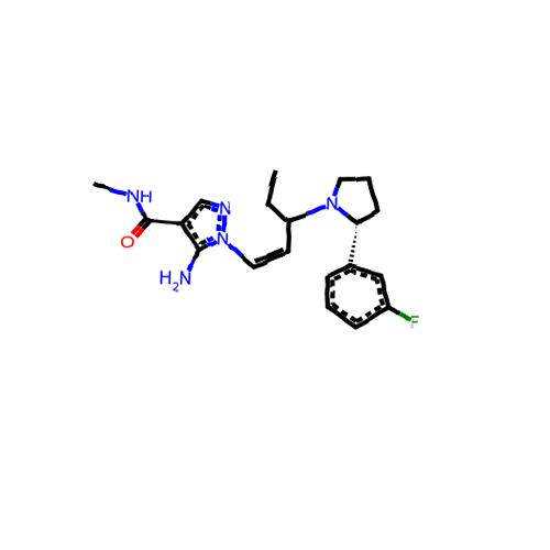 CCC(/C=C\n1ncc(C(=O)NC)c1N)N1CCC[C@@H]1c1cccc(F)c1